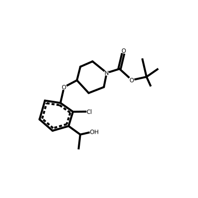 CC(O)c1cccc(OC2CCN(C(=O)OC(C)(C)C)CC2)c1Cl